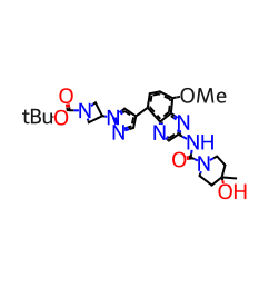 COc1ccc(-c2cnn(C3CN(C(=O)OC(C)(C)C)C3)c2)c2ncc(NC(=O)N3CCC(C)(O)CC3)nc12